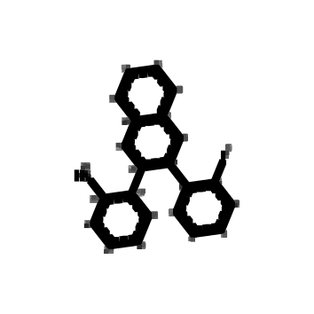 Fc1ccccc1-c1cc2ccccc2cc1-c1ccccc1S